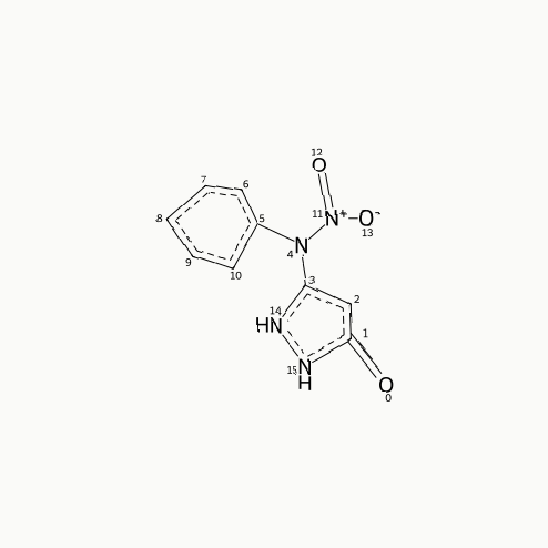 O=c1cc(N(c2ccccc2)[N+](=O)[O-])[nH][nH]1